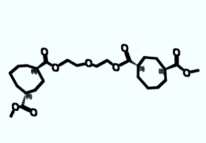 COC(=O)[C@@H]1CCCC[C@@H](C(=O)OCCOCCOC(=O)[C@H]2CCCC[C@H](C(=O)OC)CC2)CC1